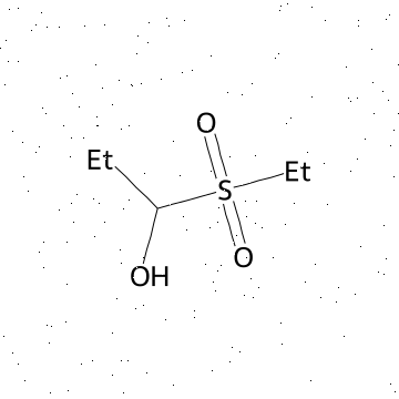 CCC(O)S(=O)(=O)CC